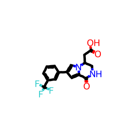 O=C(O)CC1CNC(=O)c2cc(-c3cccc(C(F)(F)F)c3)cn21